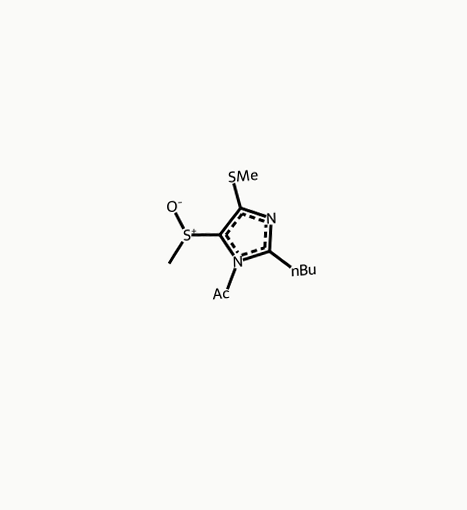 CCCCc1nc(SC)c([S+](C)[O-])n1C(C)=O